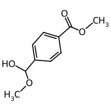 COC(=O)c1ccc(C(O)OC)cc1